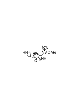 COc1cc(-c2[nH]nc(C(=O)NCC3CCNCC3)c2C(C)C)cn2ncnc12